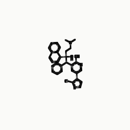 CN(C)CCC(O)(C1=C=C=Cc2ccccc21)C(c1ccccc1)c1cc(-c2ccsc2Cl)cnc1O